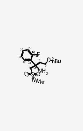 CCCCOCCC(N)(CS(=O)(=O)NC)c1ccccc1F